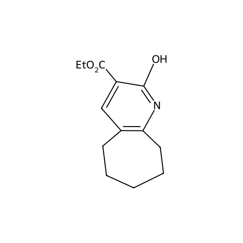 CCOC(=O)c1cc2c(nc1O)CCCCC2